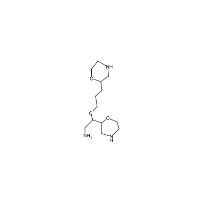 NCC(OCCCC1CNCCO1)C1CNCCO1